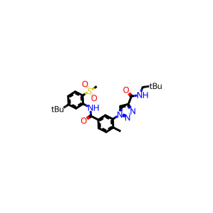 Cc1ccc(C(=O)Nc2cc(C(C)(C)C)ccc2S(C)(=O)=O)cc1-n1cc(C(=O)NCC(C)(C)C)nn1